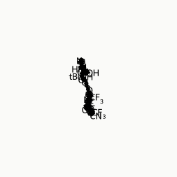 CN1C(c2cccnc2)=CNC1[C@@H]1C[C@@H](O)CN1C(=O)[C@@H](NC(=O)COCCCCOc1ccc(-c2ncc(N3C(=S)N(c4ccc(C#N)c(C(F)(F)F)c4F)C(=O)C3(C)C)cc2F)c(C(F)(F)F)c1)C(C)(C)C